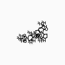 [2H]C([2H])([2H])c1cc2cnc(NC3C([2H])([2H])CN(S(=O)(=O)C([2H])([2H])[2H])CC3([2H])[2H])nc2n([C@H]2CCC[C@@]2(O)C([2H])([2H])[2H])c1=O